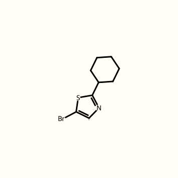 Brc1[c]nc(C2CCCCC2)s1